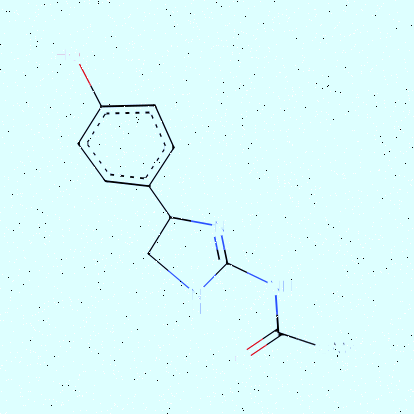 COC(=O)NC1=NC(c2ccc(O)cc2)CN1